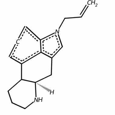 C=CCn1cc2c3c(cccc31)C1CCCN[C@@H]1C2